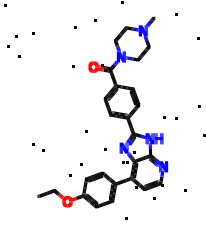 CCOc1ccc(-c2ccnc3[nH]c(-c4ccc(C(=O)N5CCN(C)CC5)cc4)nc23)cc1